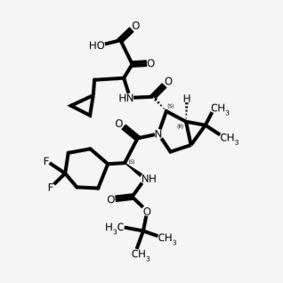 CC(C)(C)OC(=O)N[C@H](C(=O)N1CC2[C@@H]([C@H]1C(=O)NC(CC1CC1)C(=O)C(=O)O)C2(C)C)C1CCC(F)(F)CC1